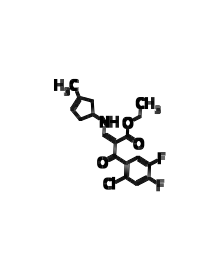 CCOC(=O)/C(=C\NC1CC=C(C)C1)C(=O)c1cc(F)c(F)cc1Cl